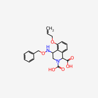 C=CCOc1cccc2c1C(NOCc1ccccc1)CN(C(=O)O)C2C(=O)O